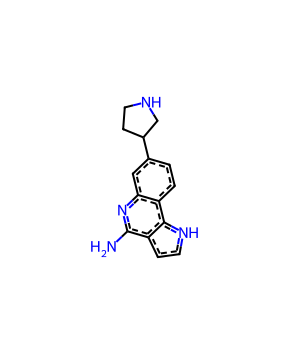 Nc1nc2cc(C3CCNC3)ccc2c2[nH]ccc12